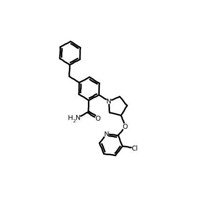 NC(=O)c1cc(Cc2ccccc2)ccc1N1CCC(Oc2ncccc2Cl)C1